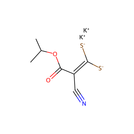 CC(C)OC(=O)C(C#N)=C([S-])[S-].[K+].[K+]